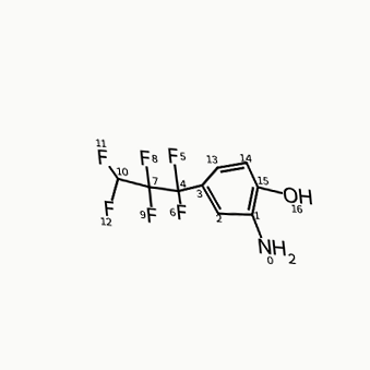 Nc1cc(C(F)(F)C(F)(F)C(F)F)ccc1O